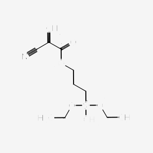 C=C(C#N)C(=O)OCCC[Si](C)(OCC)OCC